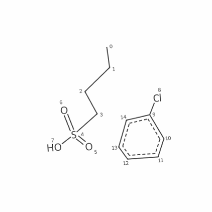 CCCCS(=O)(=O)O.Clc1ccccc1